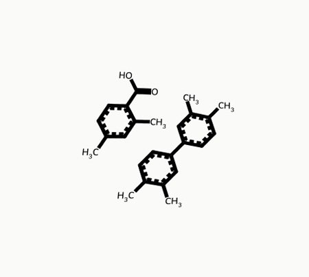 Cc1ccc(-c2ccc(C)c(C)c2)cc1C.Cc1ccc(C(=O)O)c(C)c1